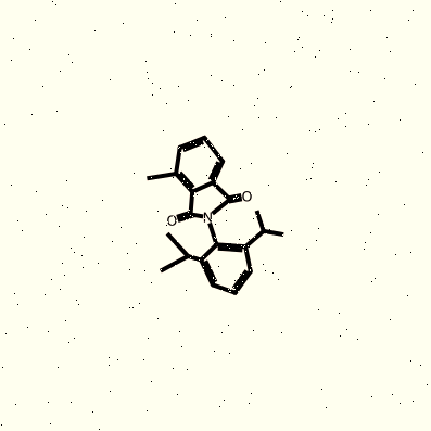 Cc1cccc2c1C(=O)N(c1c(C(C)C)cccc1C(C)C)C2=O